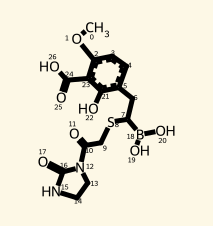 COc1ccc(CC(SCC(=O)N2CCNC2=O)B(O)O)c(O)c1C(=O)O